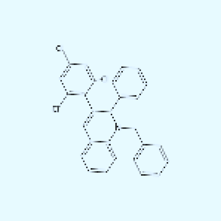 Clc1cc(Cl)c(C2=Cc3ccccc3N(Cc3ccccc3)C2c2ccccc2)c(Cl)c1